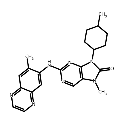 Cc1cc2nccnc2cc1Nc1ncc2c(n1)n(C1CCC(C)CC1)c(=O)n2C